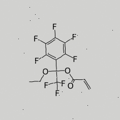 C=CC(=O)OC(OCC)(c1c(F)c(F)c(F)c(F)c1F)C(F)(F)F